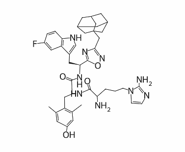 Cc1cc(O)cc(C)c1CC(NC(=O)C(N)CCCn1ccnc1N)C(=O)N[C@@H](Cc1c[nH]c2ccc(F)cc12)c1nc(CC23CC4CC(CC(C4)C2)C3)no1